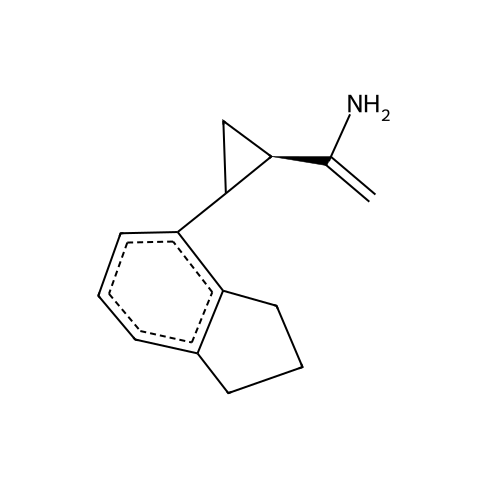 C=C(N)[C@@H]1CC1c1cccc2c1CCC2